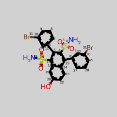 NS(=O)(=O)c1c(-c2cccc(Br)c2)c(S(N)(=O)=O)c2cc(O)ccc2c1-c1cccc(Br)c1